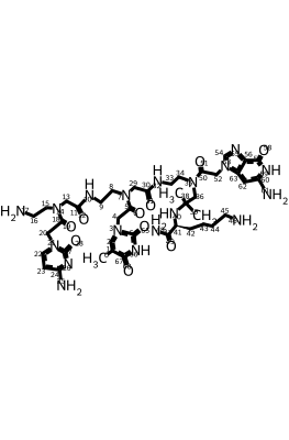 Cc1cn(CC(=O)N(CCNC(=O)CN(CCN)C(=O)Cn2ccc(N)nc2=O)CC(=O)NCCN(CC(C)(C)N[C@@H](CCCCN)C(N)=O)C(=O)Cn2cnc3c(=O)[nH]c(N)cc32)c(=O)[nH]c1=O